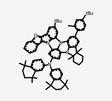 Cc1cc(C(C)(C)C)ccc1-c1cc2c3c(c1)C1(C)CCCCC1(C)N3c1cc(N(c3ccc4c(c3)C(C)(C)CCC4(C)C)c3ccc4c(c3)C(C)(C)CCC4(C)C)cc3c1B2c1cc(C(C)(C)C)cc2c4oc5ccccc5c4n-3c12